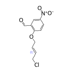 O=Cc1cc([N+](=O)[O-])ccc1OC/C=C/CCl